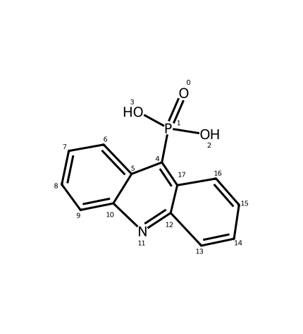 O=P(O)(O)c1c2ccccc2nc2ccccc12